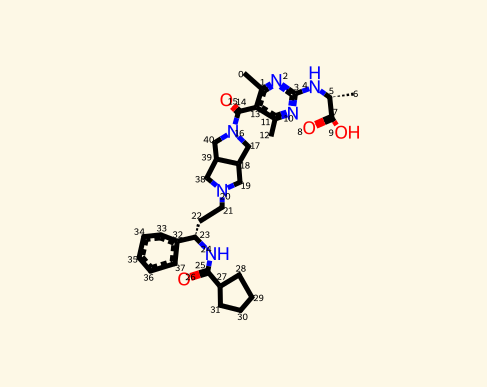 Cc1nc(N[C@H](C)C(=O)O)nc(C)c1C(=O)N1CC2CN(CC[C@H](NC(=O)C3CCCC3)c3ccccc3)CC2C1